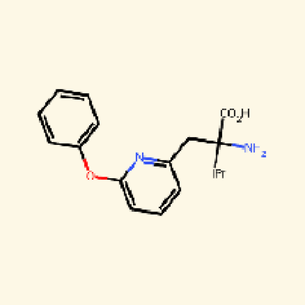 CC(C)C(N)(Cc1cccc(Oc2ccccc2)n1)C(=O)O